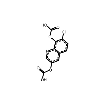 O=C(O)Oc1cnc2c(OC(=O)O)c(Cl)ccc2c1